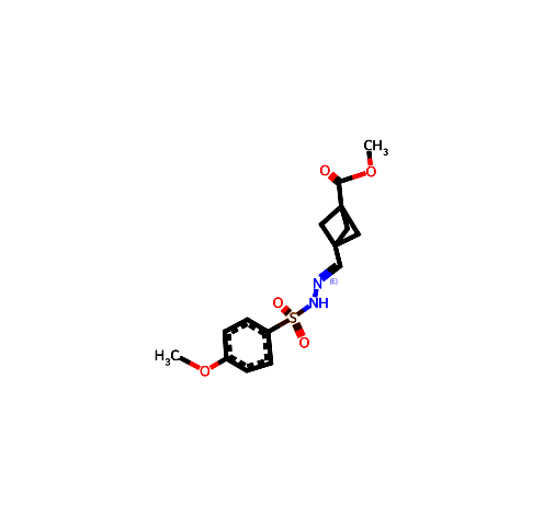 COC(=O)C12CC(/C=N/NS(=O)(=O)c3ccc(OC)cc3)(C1)C2